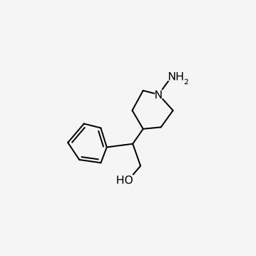 NN1CCC(C(CO)c2ccccc2)CC1